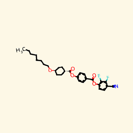 CCCCCCCCO[C@H]1CC[C@H](C(=O)Oc2ccc(C(=O)Oc3ccc(C#N)c(F)c3F)cc2)CC1